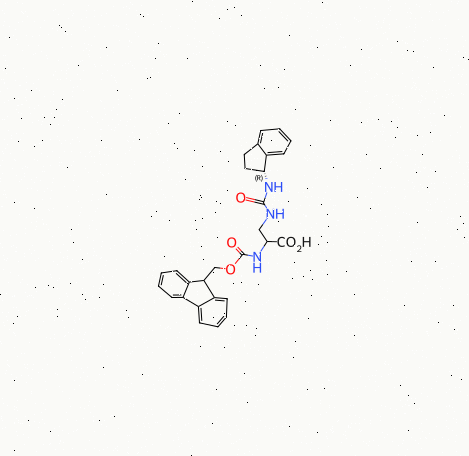 O=C(NCC(NC(=O)OCC1c2ccccc2-c2ccccc21)C(=O)O)N[C@@H]1CCc2ccccc21